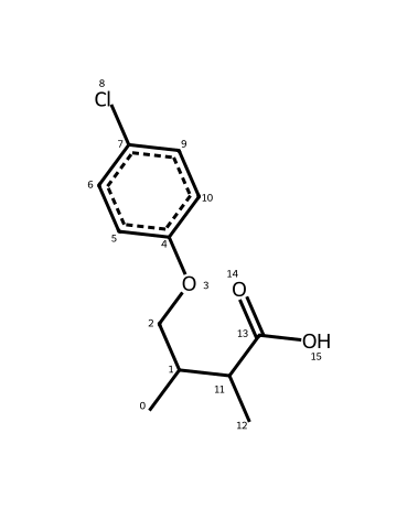 CC(COc1ccc(Cl)cc1)C(C)C(=O)O